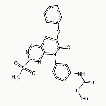 CC(C)(C)OC(=O)Nc1cccc(-n2c(=O)c(Oc3ccccc3)cc3cnc(S(C)(=O)=O)nc32)c1